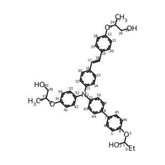 CCC(O)Oc1ccc(-c2ccc(N(c3ccc(C=Cc4ccc(OC(C)CO)cc4)cc3)c3ccc(OC(C)CO)cc3)cc2)cc1